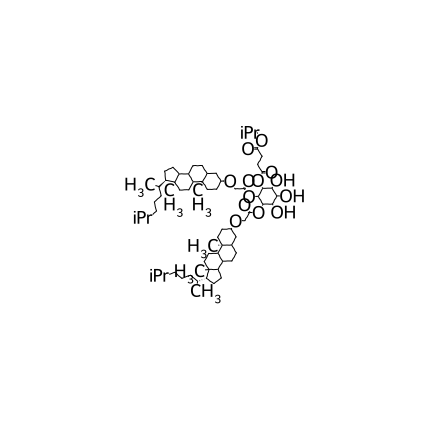 CC(C)CCCC(C)[C@H]1CCC2C3CCC4C[C@@H](OCC(=O)OC5C(O)C(O)C(O)C(OC(=O)CCC(=O)OC(C)C)C5OC(=O)CO[C@H]5CCC6(C)C(CCC7C6CC[C@@]6(C)C7CC[C@@H]6C(C)CCCC(C)C)C5)CC[C@]4(C)C3CCC21C